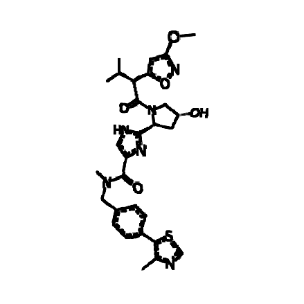 COc1cc([C@@H](C(=O)N2C[C@H](O)C[C@H]2c2nc(C(=O)N(C)Cc3ccc(-c4scnc4C)cc3)c[nH]2)C(C)C)on1